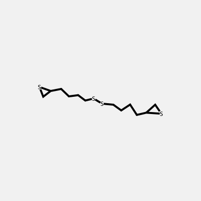 C(CCC1CS1)CSSCCCCC1CS1